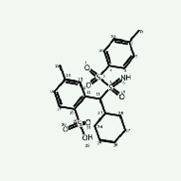 Cc1ccc(S(=O)(=O)S(=N)(=O)C(c2cc(C)ccc2S(=O)(=O)O)C2CCCCC2)cc1